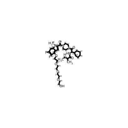 CNC(C)C(=O)NC(C(=O)N1CCN(C(=O)c2cc3c(OCCOCCOCCOCCO)c(F)c(F)cc3n2C)CC1)C1CCCCC1